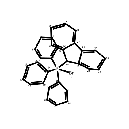 BrP(c1ccccc1)(c1ccccc1)(c1ccccc1)C1c2ccccc2-c2ccccc21